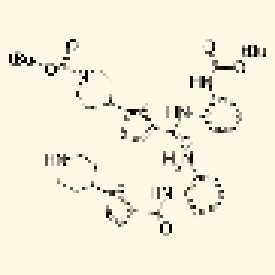 CC(C)(C)OC(=O)Nc1ccccc1NC(=O)c1ccc(C2CCN(C(=O)OC(C)(C)C)CC2)s1.Nc1ccccc1NC(=O)c1ccc(C2CCNCC2)s1